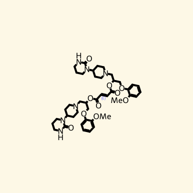 COc1ccccc1OCC(CN1CCC(N2CCCNC2=O)CC1)OC(=O)/C=C/C(=O)OC(COc1ccccc1OC)CN1CCC(N2CCCNC2=O)CC1